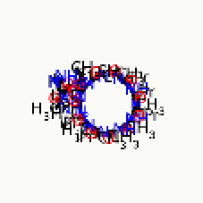 C/C=C/C[C@@H](C)[C@@H](OC(=O)C(Cc1c[nH]cn1)NC(=O)C(C)N)[C@H]1C(=O)N[C@@H](CC)C(=O)N(C)CC(=O)N(C)[C@@H](CC(C)C)C(=O)N[C@@H](C(C)C)C(=O)N(C)[C@@H](CC(C)C)C(=O)N[C@@H](C)C(=O)N[C@H](C)C(=O)N(C)C(CC(C)C)C(=O)N(C)[C@@H](CC(C)C)C(=O)N(C)[C@@H](C(C)C)C(=O)N1C